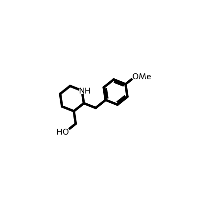 COc1ccc(CC2NCCCC2CO)cc1